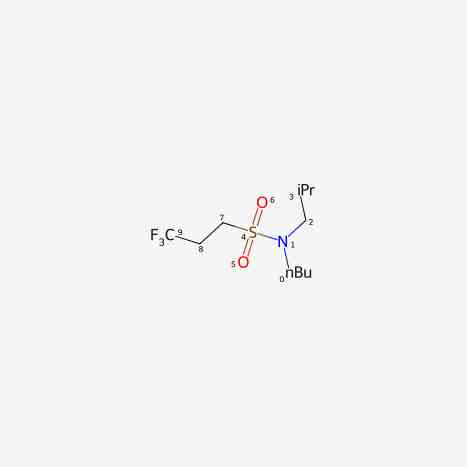 CCCCN(CC(C)C)S(=O)(=O)CCC(F)(F)F